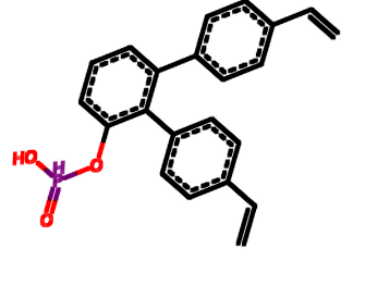 C=Cc1ccc(-c2cccc(O[PH](=O)O)c2-c2ccc(C=C)cc2)cc1